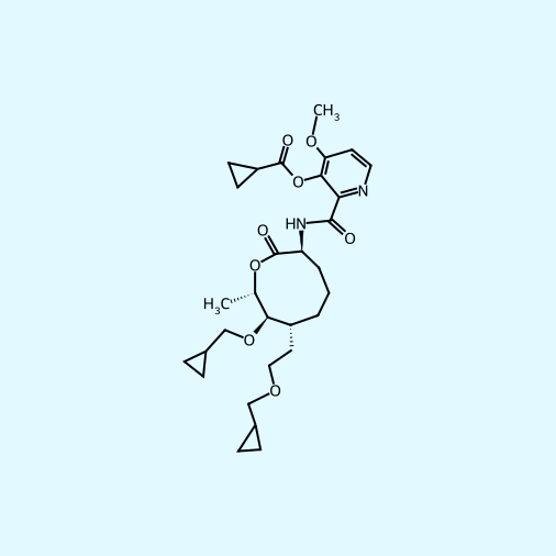 COc1ccnc(C(=O)N[C@H]2CCC[C@H](CCOCC3CC3)[C@@H](OCC3CC3)[C@H](C)OC2=O)c1OC(=O)C1CC1